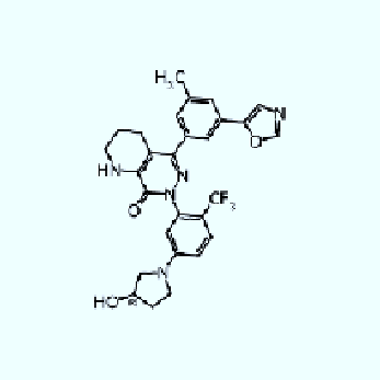 Cc1cc(-c2cnco2)cc(-c2nn(-c3cc(N4CC[C@@H](O)C4)ccc3C(F)(F)F)c(=O)c3c2CCCN3)c1